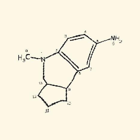 CN1c2ccc(N)cc2C2CCCC21